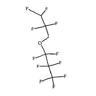 FC(F)C(F)(F)COC(F)(F)C(F)(F)C(F)(F)F